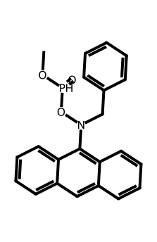 CO[PH](=O)ON(Cc1ccccc1)c1c2ccccc2cc2ccccc12